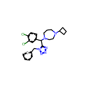 Clc1ccc(C(c2nnnn2Cc2ccccc2)N2CCCN(C3CCC3)CC2)cc1Cl